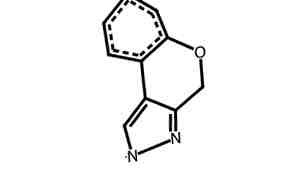 C1=C2C(=N[N]1)COc1ccccc12